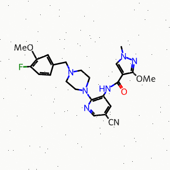 COc1cc(CN2CCN(c3ncc(C#N)cc3NC(=O)c3cn(C)nc3OC)CC2)ccc1F